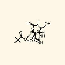 CC(C)(C)C(=O)O[C@H]1CN2C(=N)N[C@@H](CO)[C@@H]3NC(=N)N[C@@]32C1(O)O